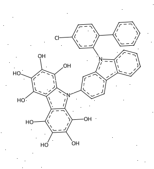 Oc1c(O)c(O)c2c(c1O)c1c(O)c(O)c(O)c(O)c1n2-c1ccc2c3ccccc3n(-c3cc(Cl)ccc3-c3ccccc3)c2c1